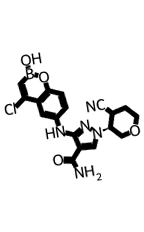 N#CC1CCOC[C@@H]1n1cc(C(N)=O)c(Nc2ccc3c(c2)C(Cl)=CB(O)O3)n1